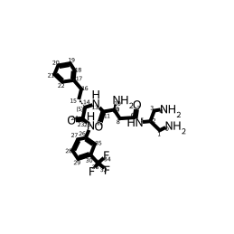 NCC(CN)NC(=O)C[C@H](N)C(=O)N[C@@H](CCc1ccccc1)C(=O)Nc1cccc(C(F)(F)F)c1